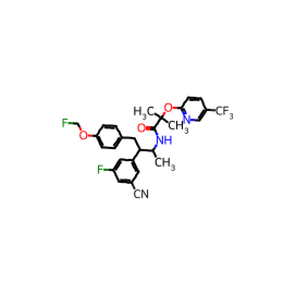 CC(NC(=O)C(C)(C)Oc1ccc(C(F)(F)F)cn1)C(Cc1ccc(OCF)cc1)c1cc(F)cc(C#N)c1